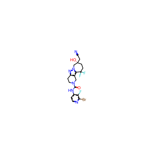 N#CC[C@@]1(O)CCC(F)(F)c2c3c(nn2C1)CCN(C(=O)Nc1ccnc(Br)c1F)C3